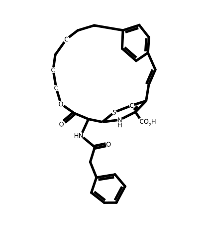 O=C(Cc1ccccc1)NC1C(=O)OCCCCCCc2ccc(cc2)/C=C/C2=C(C(=O)O)NC1SC2